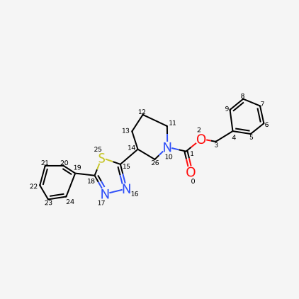 O=C(OCc1ccccc1)N1CCCC(c2nnc(-c3ccccc3)s2)C1